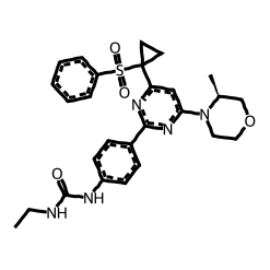 CCNC(=O)Nc1ccc(-c2nc(N3CCOC[C@@H]3C)cc(C3(S(=O)(=O)c4ccccc4)CC3)n2)cc1